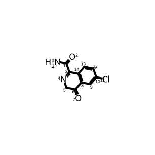 NC(=O)C1=NCC(=O)c2cc(Cl)[c]cc21